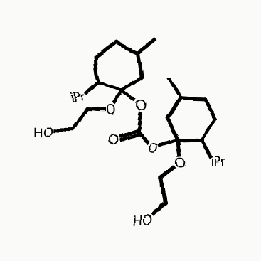 CC1CCC(C(C)C)C(OCCO)(OC(=O)OC2(OCCO)CC(C)CCC2C(C)C)C1